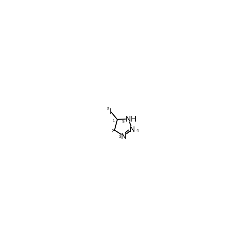 IC1CN=NN1